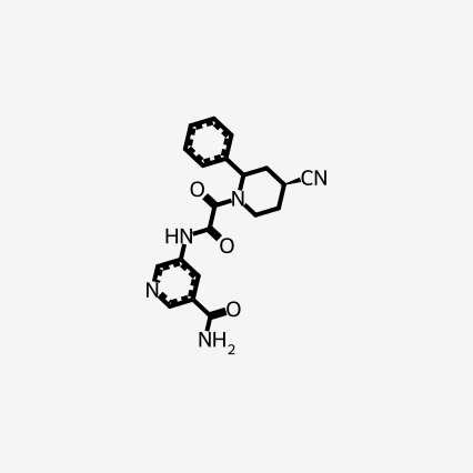 N#C[C@H]1CCN(C(=O)C(=O)Nc2cncc(C(N)=O)c2)C(c2ccccc2)C1